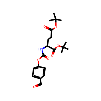 CC(C)(C)OC(=O)CCC(NC(=O)Oc1ccc(C=O)cc1)C(=O)OC(C)(C)C